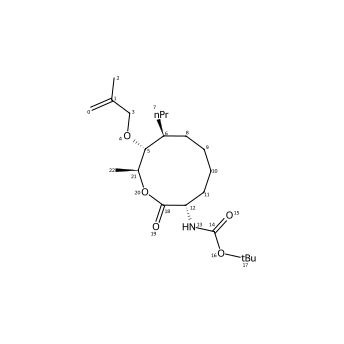 C=C(C)CO[C@@H]1[C@@H](CCC)CCCC[C@H](NC(=O)OC(C)(C)C)C(=O)O[C@H]1C